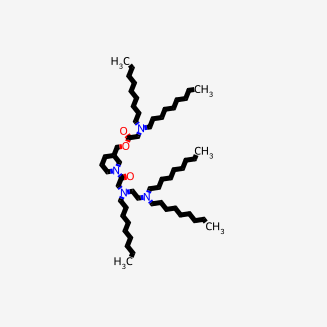 CCCCCCCCCN(CCCCCCCCC)CCN(CCCCCCCCC)CC(=O)N1CCCC(COC(=O)CN(CCCCCCCCC)CCCCCCCCC)C1